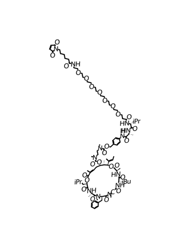 C/C=C(\C)[C@H]1OC(=O)[C@@H](C)NC(=O)[C@H](C(C)CC)NC(=O)CN(C)C(=O)[C@@H](Cc2ccccc2)N(C)C(=O)[C@H](C)NC(=O)[C@@H](CC(C)C)OC(=O)/C(C)=C/C[C@H](OC(=O)N(C)CCN(C)C(=O)OCc2ccc(NC(=O)[C@@H](C)NC(=O)[C@H](NC(=O)CCOCCOCCOCCOCCOCCOCCOCCNC(=O)CCCCCN3C(=O)C=CC3=O)C(C)C)cc2)[C@@H]1C